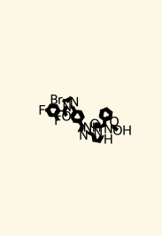 O=C(O)N[C@H](C(=O)n1cccc1-c1ncc(-c2ccc3c(c2)O[C@@H](c2ccc(F)cc2F)n2c(Br)cnc2-3)[nH]1)c1ccccc1